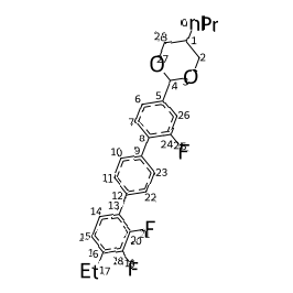 CCCC1COC(c2ccc(-c3ccc(-c4ccc(CC)c(F)c4F)cc3)c(F)c2)OC1